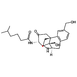 CC(C)CCCC(=O)N[C@H]1C[C@@]2(CO)[C@H]3Cc4ccc(CO)cc4[C@@]2(CCN3)CC1=O